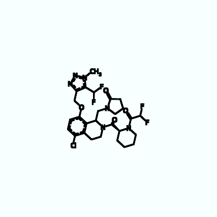 Cn1nnc(COc2ccc(Cl)c3c2C(CN2CCCC2=O)N(C(=O)[C@@H]2CCCCN2C(=O)C(F)F)CC3)c1C(F)F